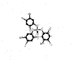 O=P(Oc1cc(Br)c(F)cc1Cl)(Oc1cc(Br)c(F)cc1Cl)Oc1cc(Br)c(F)cc1Cl